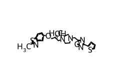 Cc1nc2cc(OC[C@@H](O)CN3CCN(Cc4nc(-c5cccs5)no4)C[C@@H]3C)ccc2s1